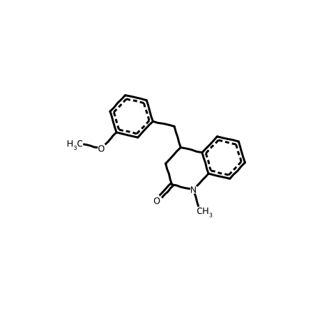 COc1cccc(CC2CC(=O)N(C)c3ccccc32)c1